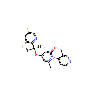 [2H]C([2H])(Oc1cc(C)n(-c2ccncc2C)c(=O)c1Cl)c1ncc(F)cc1F